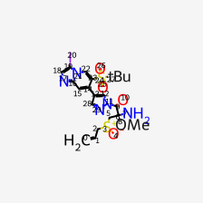 C=CC[S+]([O-])C[C@@](N)(OC)C(=O)n1cc(-c2cc3ncc(I)n3cc2S(=O)(=O)C(C)(C)C)cn1